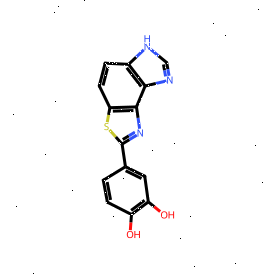 Oc1ccc(-c2nc3c(ccc4[nH]cnc43)s2)cc1O